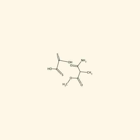 COC(=O)C(C)C(N)=O.OC(=S)C(O)=S